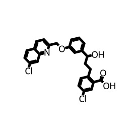 O=C(O)c1cc(Cl)ccc1CCC(O)c1cccc(OCc2ccc3ccc(Cl)cc3n2)c1